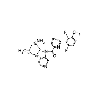 Cc1ccc(F)c(-c2cccc(C(=O)Nc3cnccc3[C@@H]3C[C@H](C)C[C@H](N)C3)n2)c1F